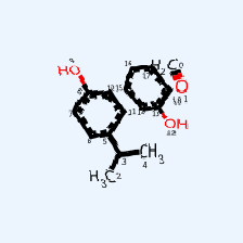 C=O.CC(C)c1ccc(O)cc1.Oc1ccccc1